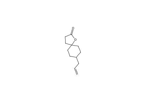 C=CCC1CCC2(CCC(=O)O2)CC1